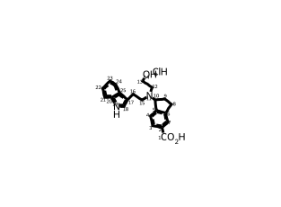 Cl.O=C(O)c1ccc2c(c1)CCC2N(CCO)CCc1c[nH]c2ccccc12